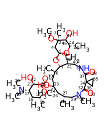 CO[C@]1(C)C[C@H](O[C@H]2[C@H](C)[C@@H](O[C@@H]3O[C@H](C)C[C@H](N(C)C)[C@H]3O)[C@](C)(O)C[C@@H](C)CN(C)C(=O)C3(CC3)C(=O)NC[C@@H]2C)O[C@@H](C)[C@@H]1O